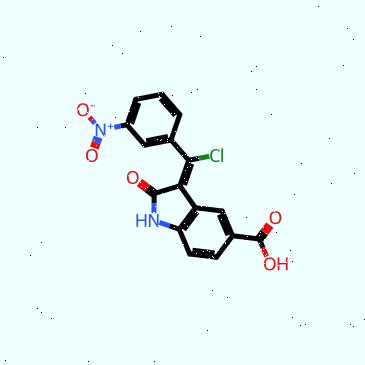 O=C1Nc2ccc(C(=O)O)cc2C1=C(Cl)c1cccc([N+](=O)[O-])c1